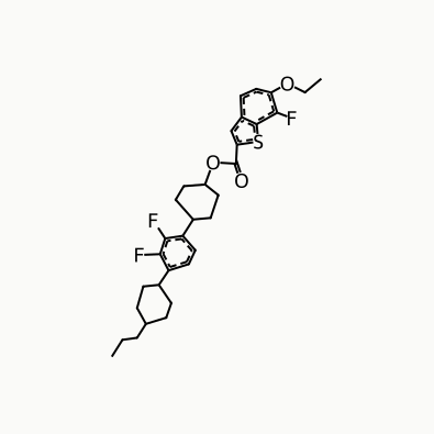 CCCC1CCC(c2ccc(C3CCC(OC(=O)c4cc5ccc(OCC)c(F)c5s4)CC3)c(F)c2F)CC1